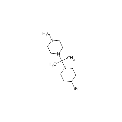 CC(C)C1CCN(C(C)(C)N2CCN(C)CC2)CC1